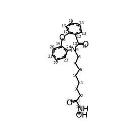 O=C(CCCCCCCN1C(=O)c2ccccc2Oc2ccccc21)NO